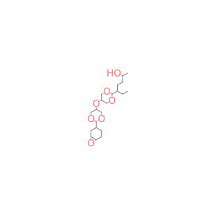 CCC(CCC(C)O)C1OCC(OC2COC(C3CCC4OC4C3)OC2)CO1